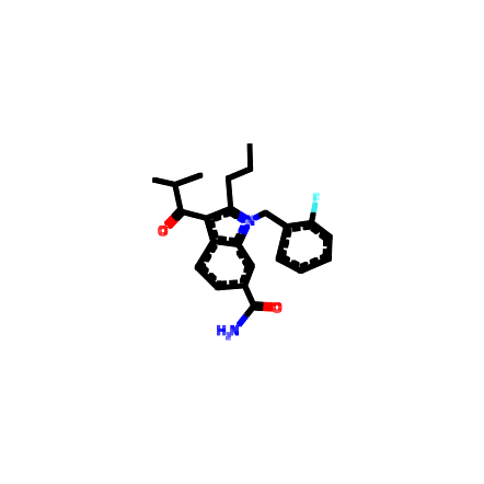 CCCc1c(C(=O)C(C)C)c2ccc(C(N)=O)cc2n1Cc1ccccc1F